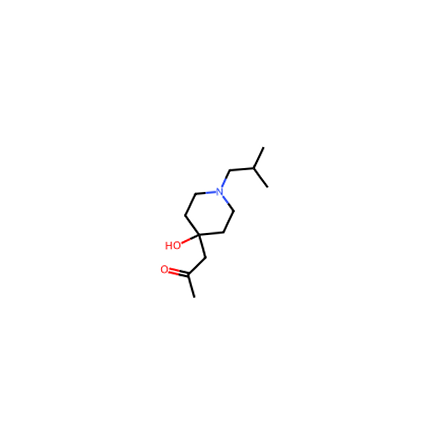 C[C](C)CN1CCC(O)(CC(C)=O)CC1